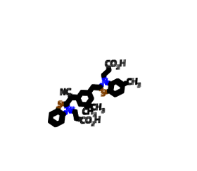 Cc1ccc2c(c1)N(CCC(=O)O)/C(=C/C1=CC(=C(\C#N)c3sc4ccccc4[n+]3CCC(=O)O)/CC(C)(C)C1)S2